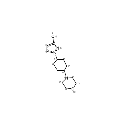 Oc1ccn(C2CCC(N3CCOCC3)CC2)n1